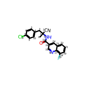 CC(C#N)(Cc1ccc(Cl)cc1)NC(=O)c1cnc2c(F)cccc2c1